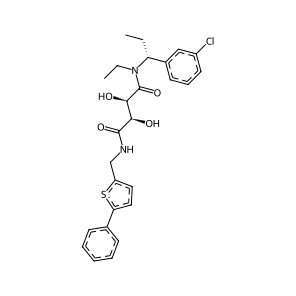 CC[C@H](c1cccc(Cl)c1)N(CC)C(=O)[C@H](O)[C@@H](O)C(=O)NCc1ccc(-c2ccccc2)s1